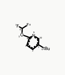 CC(C)(C)c1ccc(OC(F)F)nc1